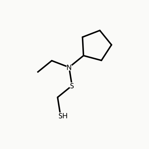 CCN(SCS)C1CCCC1